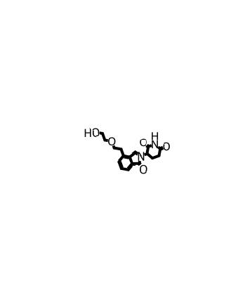 O=C1CCC(N2Cc3c(CCOCCO)cccc3C2=O)C(=O)N1